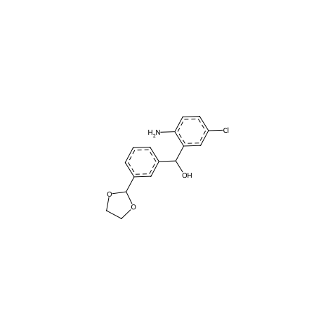 Nc1ccc(Cl)cc1C(O)c1cccc(C2OCCO2)c1